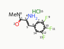 CNC(=O)C(N)=Cc1cc(F)c(F)c(F)c1.Cl